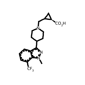 Cn1nc(C2CCN(CC3C[C@H]3C(=O)O)CC2)c2cccc(C(F)(F)F)c21